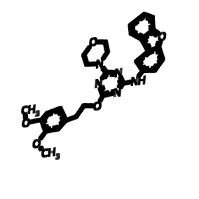 COc1ccc(CCOc2nc(Nc3ccc4oc5ccccc5c4c3)nc(N3CCOCC3)n2)cc1OC